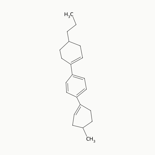 CCCC1CC=C(c2ccc(C3=CCC(C)CC3)cc2)CC1